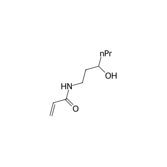 C=CC(=O)NCCC(O)CCC